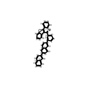 c1cc(-c2ccc3cc(-c4ccc5ccccc5c4)ccc3c2)cc(-c2nc3ccccc3c3oc4ccccc4c23)c1